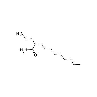 CCCCCCCCCC(CCN)C(N)=O